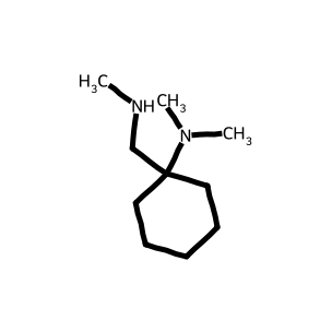 CNCC1(N(C)C)CCCCC1